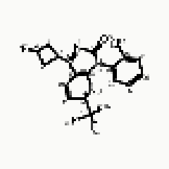 O=c1nc(C2CC(F)C2)c2ccc(C(F)(F)F)nc2n1-c1ccccc1Cl